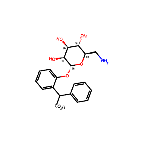 NC[C@H]1O[C@H](Oc2ccccc2C(C(=O)O)c2ccccc2)[C@@H](O)[C@@H](O)[C@@H]1O